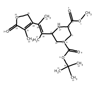 COC(=O)C1CN(C(=O)OC(C)(C)C)CC(/C(C)=C(\C)C2=C(C)C(=O)OC2)N1